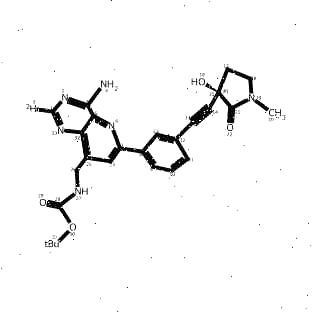 [2H]c1nc(N)c2nc(-c3cccc(C#C[C@]4(O)CCN(C)C4=O)c3)cc(CNC(=O)OC(C)(C)C)c2n1